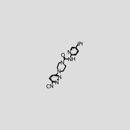 CC(C)c1ccc(NC(=O)N2CCN(c3ccc(C#N)nn3)CC2)nc1